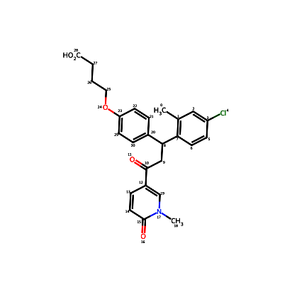 Cc1cc(Cl)ccc1C(CC(=O)c1ccc(=O)n(C)c1)c1ccc(OCCCC(=O)O)cc1